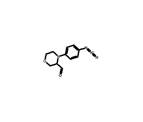 [N-]=[N+]=Nc1ccc(N2CCOCC2C=O)cc1